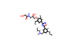 CCCc1cc(CN(C)CCC)cc(-c2nc(-c3cc(C)c(OCC(O)CNC(=O)CO)c(CC)c3)no2)c1